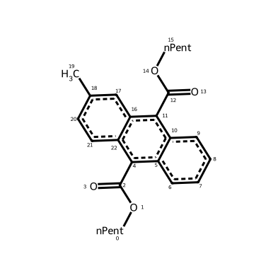 CCCCCOC(=O)c1c2ccccc2c(C(=O)OCCCCC)c2cc(C)ccc12